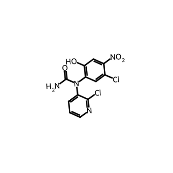 NC(=O)N(c1cc(Cl)c([N+](=O)[O-])cc1O)c1cccnc1Cl